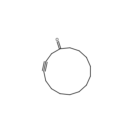 O=C1CC#CCCCCCCCCCCC1